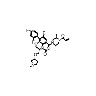 C=CC(=O)N1C[C@H](C)N(c2nc(=O)n3c4c(c(-c5ccc(F)cc5F)c(Cl)cc24)OC[C@@H]3CO[C@@H]2CCN(C)C2)C[C@H]1C